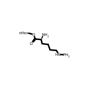 CCCCCCOC(=O)[C@@H](N)CCCCNP